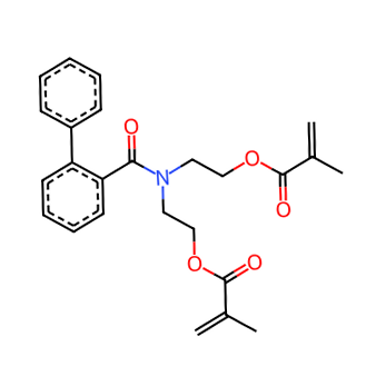 C=C(C)C(=O)OCCN(CCOC(=O)C(=C)C)C(=O)c1ccccc1-c1ccccc1